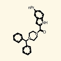 CCCc1ccc2[nH]c(C(=O)N3CCN(C(c4ccccc4)c4ccccc4)CC3)cc2c1